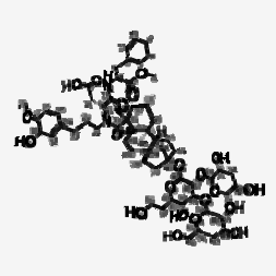 COC(=O)C(Cc1ccccc1)NC(=O)[C@@H](CC(=O)O)N(CCCc1ccc(OC)c(O)c1)C(=O)[C@]1(C)CCC[C@@]2(C)[C@@H]3CC[C@@]4(O[C@@H]5O[C@H](CCO)[C@@H](O)[C@H](O[C@@H]6O[C@H](CO)C[C@H](O)[C@H]6O)[C@H]5O[C@@H]5OC[C@@H](O)C[C@H]5O)CC[C@]3(CC[C@@H]21)C4